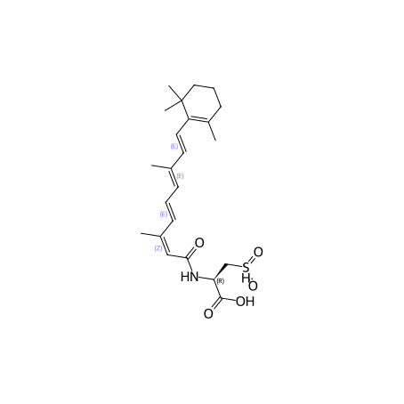 CC1=C(/C=C/C(C)=C/C=C/C(C)=C\C(=O)N[C@@H](C[SH](=O)=O)C(=O)O)C(C)(C)CCC1